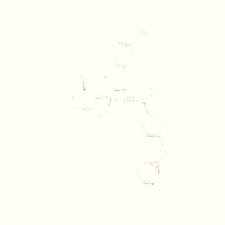 O=C(NC(Cc1cccc(O)c1)C(=O)N1CCC2OCC(=O)C21)c1ccc(Oc2ccccc2)cc1